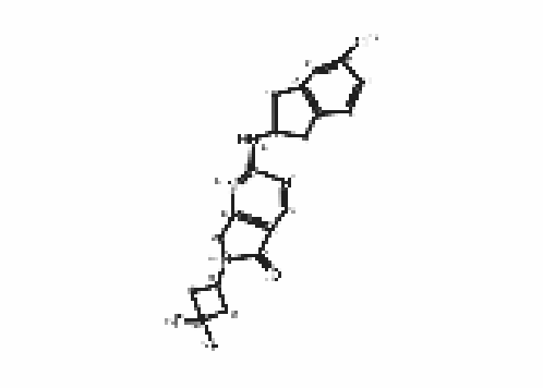 O=C1c2cnc(NC3Cc4ccc(Cl)cc4C3)nc2CN1C1CC(F)(F)C1